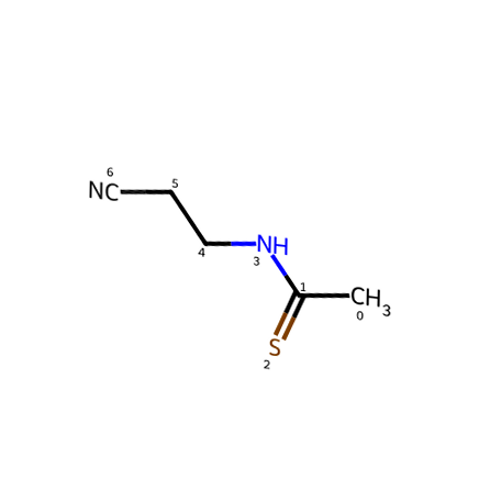 CC(=S)NCCC#N